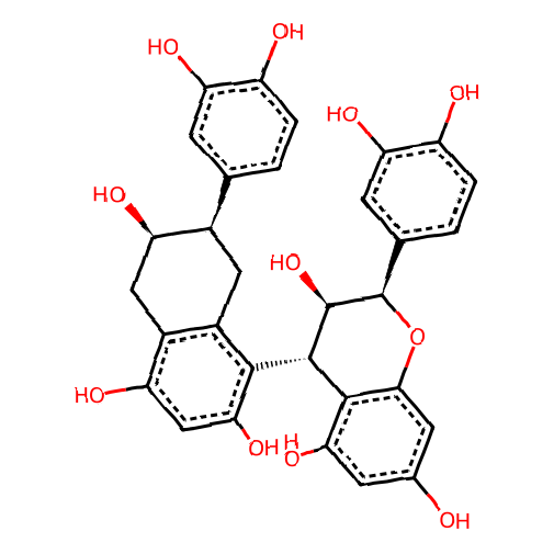 Oc1cc(O)c2c(c1)O[C@H](c1ccc(O)c(O)c1)[C@H](O)[C@H]2c1c(O)cc(O)c2c1C[C@H](c1ccc(O)c(O)c1)[C@H](O)C2